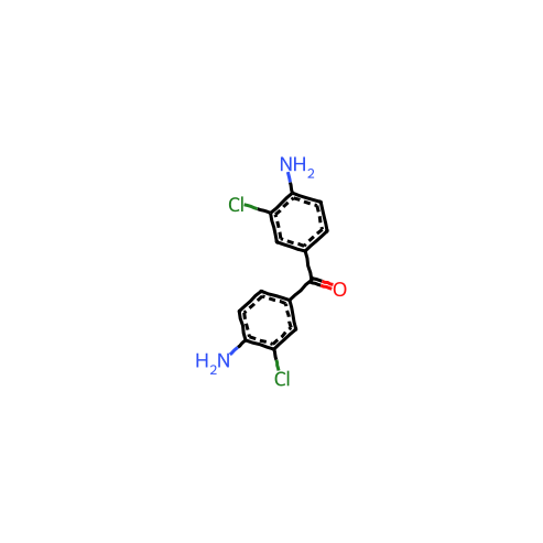 Nc1ccc(C(=O)c2ccc(N)c(Cl)c2)cc1Cl